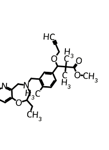 C#CCOC(c1ccc(C)c(CN2Cc3ncccc3OC(CC)C2)c1)C(C)(C)C(=O)OC